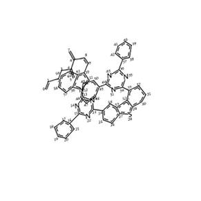 C=CCCC(=C)C(=C)/C=C\c1cn(-c2nc(-c3ccccc3)nc(-c3ccc4sc5cccc(-c6nc(-c7ccccc7)nc(-c7ccccc7)n6)c5c4c3)n2)c2ccccc12